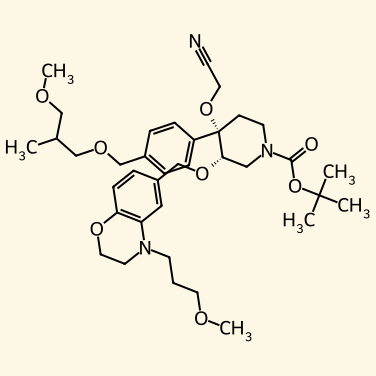 COCCCN1CCOc2ccc(CO[C@H]3CN(C(=O)OC(C)(C)C)CC[C@]3(OCC#N)c3ccc(COCC(C)COC)cc3)cc21